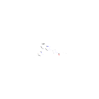 Cc1cnc(-c2cc(C(=O)O)cc3nn(C4CN(C(=O)OC(C)(C)C)C4)cc23)s1